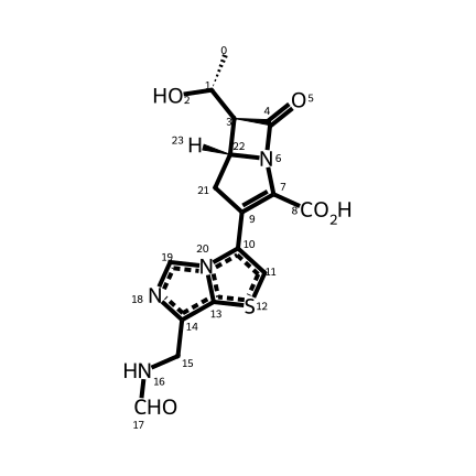 C[C@@H](O)[C@H]1C(=O)N2C(C(=O)O)=C(c3csc4c(CNC=O)ncn34)C[C@H]12